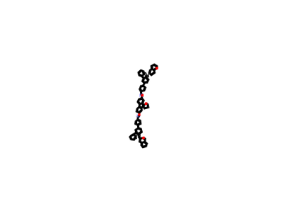 C(=C\c1ccc2c(c1)C1(CCCC1)c1cc(/C=C/c3ccc(-c4ccc5c(c4)c4ccccc4n5-c4ccc5ccccc5c4)cc3)ccc1-2)/c1ccc(-c2ccc3c(c2)c2ccccc2n3-c2ccc3ccccc3c2)cc1